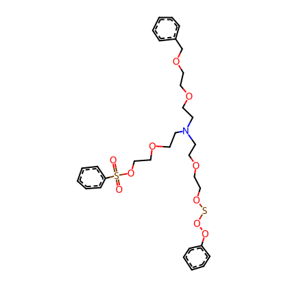 O=S(=O)(OCCOCCN(CCOCCOCc1ccccc1)CCOCCOSOOc1ccccc1)c1ccccc1